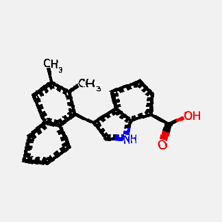 Cc1cc2ccccc2c(-c2c[nH]c3c(C(=O)O)cccc23)c1C